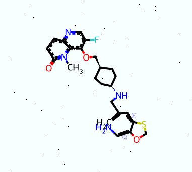 C=C(/C=C1/SCO/C1=C/N)CN[C@H]1CC[C@H](COc2c(F)cnc3ccc(=O)n(C)c23)CC1